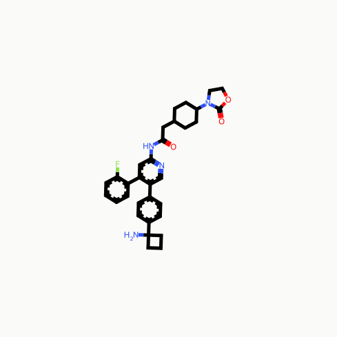 NC1(c2ccc(-c3cnc(NC(=O)CC4CCC(N5CCOC5=O)CC4)cc3-c3ccccc3F)cc2)CCC1